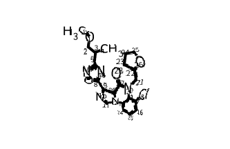 COCC(C)c1noc(C2N=CN3c4cccc(Cl)c4N(CC4CCCO4)C(=O)C23)n1